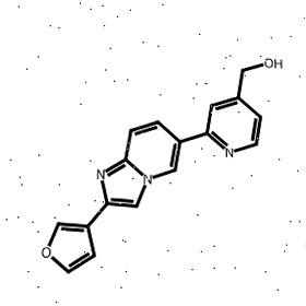 OCc1ccnc(-c2ccc3nc(-c4ccoc4)cn3c2)c1